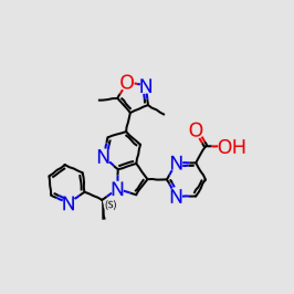 Cc1noc(C)c1-c1cnc2c(c1)c(-c1nccc(C(=O)O)n1)cn2[C@@H](C)c1ccccn1